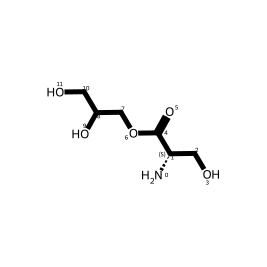 N[C@@H](CO)C(=O)OCC(O)CO